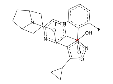 O=C(O)c1cnc(N2C3CCC2CC(OCc2c(-c4c(F)cccc4F)noc2C2CC2)C3)cn1